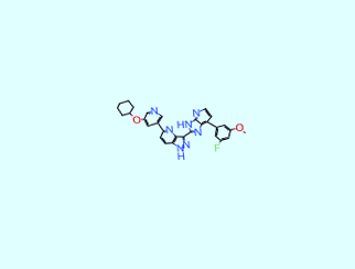 COc1cc(F)cc(-c2ccnc3[nH]c(-c4n[nH]c5ccc(-c6cncc(OC7CCCCC7)c6)nc45)nc23)c1